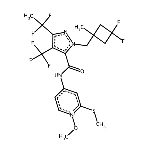 CO[n+]1ccc(NC(=O)c2c(C(F)(F)F)c(C(C)(F)F)nn2CC2(C)CC(F)(F)C2)cc1SC